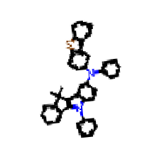 CC1(C)c2ccccc2-c2c1c1cc(N(c3ccccc3)c3ccc4sc5ccccc5c4c3)ccc1n2-c1ccccc1